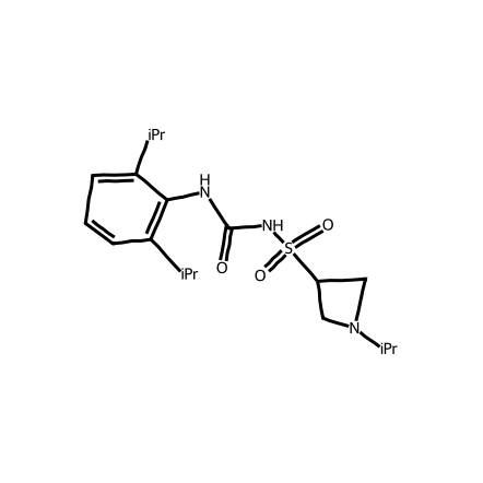 CC(C)c1cccc(C(C)C)c1NC(=O)NS(=O)(=O)C1CN(C(C)C)C1